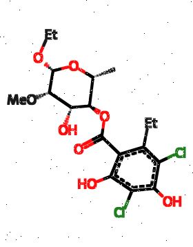 CCO[C@@H]1O[C@H](C)[C@@H](OC(=O)c2c(O)c(Cl)c(O)c(Cl)c2CC)[C@H](O)[C@@H]1OC